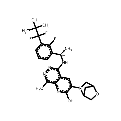 Cc1nnc(N[C@H](C)c2cccc(C(F)(F)C(C)(C)O)c2F)c2cc(N3CC4CC3CO4)c(O)nc12